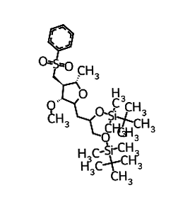 CO[C@H]1C(CC(CO[Si](C)(C)C(C)(C)C)O[Si](C)(C)C(C)(C)C)O[C@@H](C)[C@@H]1CS(=O)(=O)c1ccccc1